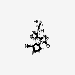 N#Cc1cc(-n2c(-c3nonc3NCCO)noc2=O)ccc1F